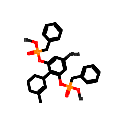 CCCCCc1cc(OP(=O)(Cc2ccccc2)OCC)c(C2C=C(C)CCC2)c(OP(=O)(Cc2ccccc2)OCC)c1